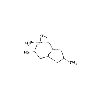 BC1(C)CC2CC(C)CC2CC1S